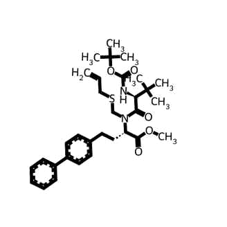 C=CCSCN(C(=O)[C@@H](NC(=O)OC(C)(C)C)C(C)(C)C)[C@@H](CCc1ccc(-c2ccccc2)cc1)C(=O)OC